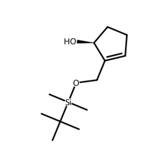 CC(C)(C)[Si](C)(C)OCC1=CCC[C@@H]1O